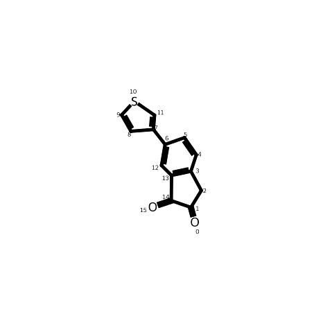 O=C1Cc2ccc(-c3ccsc3)cc2C1=O